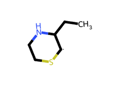 CCC1[CH]SCCN1